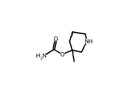 CC1(OC(N)=O)CCCNC1